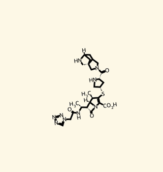 C[C@@H](NC(=O)Cn1cnnn1)[C@H]1C(=O)N2C(C(=O)O)=C(S[C@@H]3CN[C@H](C(=O)N4CC5C[C@@H]6C[C@]5(CN6)C4)C3)[C@H](C)[C@H]12